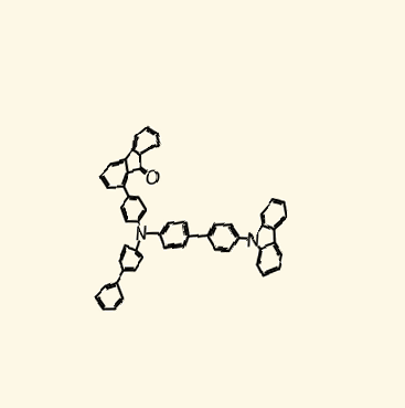 O=C1c2ccccc2-c2cccc(-c3ccc(N(c4ccc(-c5ccccc5)cc4)c4ccc(-c5ccc(-n6c7ccccc7c7ccccc76)cc5)cc4)cc3)c21